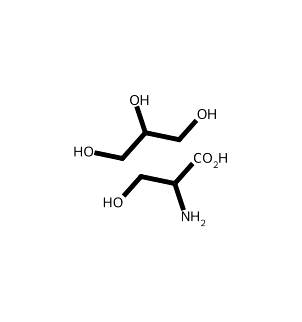 NC(CO)C(=O)O.OCC(O)CO